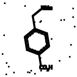 CNCc1ccc(C(=O)O)cc1